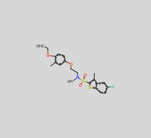 CCCN(CCOc1ccc(OCC=O)c(C)c1)S(=O)(=O)c1sc2ccc(F)cc2c1C